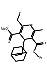 COC(=O)C1=C(CF)NC(C)=C(C(=O)OC(C)C)C1C1=CC2CCC1CC2